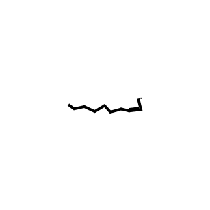 [CH2]/C=C\CCCCCCC